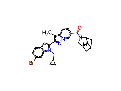 Cc1c(-c2cc3ccc(Br)cc3n2CC2CC2)nn2cc(C(=O)N3CC4CC5CC3[C@H]54)ccc12